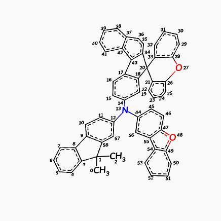 CC1(C)c2ccccc2-c2ccc(N(c3ccc4c(c3)C3(c5ccccc5Oc5ccccc53)c3ccc5ccccc5c3-4)c3ccc4oc5ccccc5c4c3)cc21